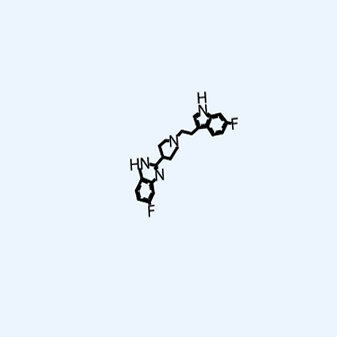 Fc1ccc2c(c1)N=C(C1CCN(CCc3c[nH]c4cc(F)ccc34)CC1)NC2